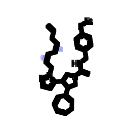 C=CC/C=C\C=C/Cn1nccc1C1CN(C(=C)NCc2ccc(SCC)cc2)CC1C1=CCC=CC=C1